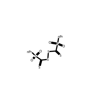 CCCS(=O)(=O)C(=S)SSC(=S)S(=O)(=O)CCC